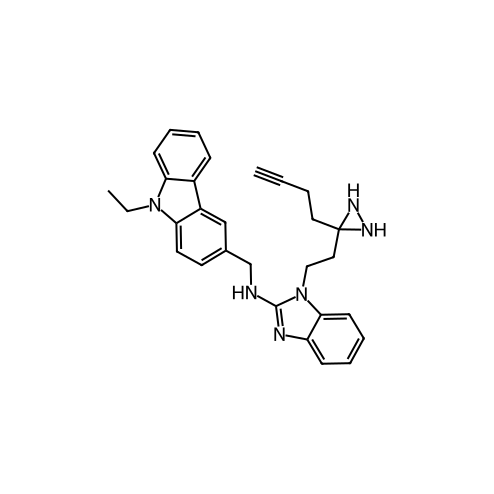 C#CCCC1(CCn2c(NCc3ccc4c(c3)c3ccccc3n4CC)nc3ccccc32)NN1